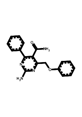 NC(=O)c1c(COc2ccccc2)nc(N)nc1-c1ccccc1